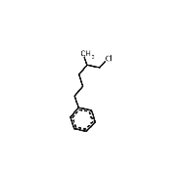 CC(CCl)CCCc1ccccc1